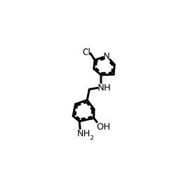 Nc1ccc(CNc2ccnc(Cl)c2)cc1O